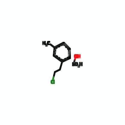 Cc1cccc(CCCl)c1.O=S(=O)(O)O